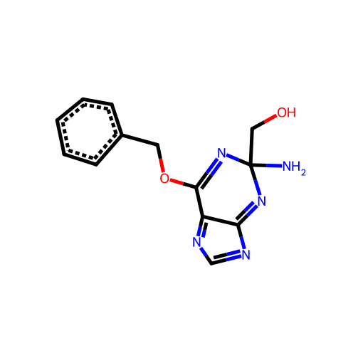 NC1(CO)N=C2N=CN=C2C(OCc2ccccc2)=N1